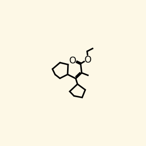 CCOC(=O)C(C)=C(C1CCCCC1)C1CCCC1